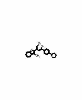 C/C=C(\C=C(/C)c1ccc(C2CCCS2)cc1)c1sc2ccccc2c1C